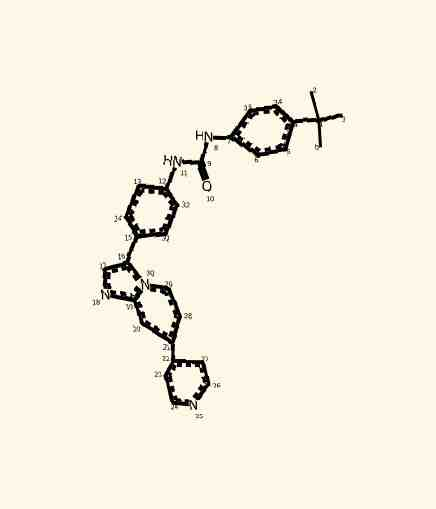 CC(C)(C)c1ccc(NC(=O)Nc2ccc(-c3cnc4cc(-c5ccncc5)ccn34)cc2)cc1